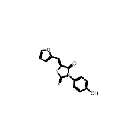 O=C1C(=Cc2ccco2)SC(=S)N1c1ccc(O)cc1